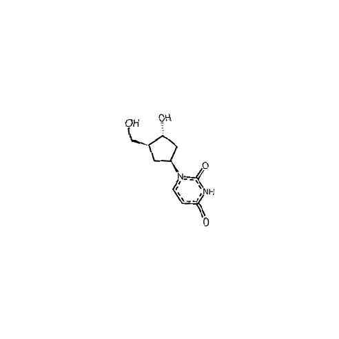 O=c1ccn([C@H]2C[C@@H](CO)[C@H](O)C2)c(=O)[nH]1